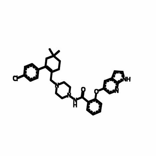 CC1(C)CCC(CN2CCN(NC(=O)c3ccccc3Oc3cnc4[nH]ccc4c3)CC2)=C(c2ccc(Cl)cc2)C1